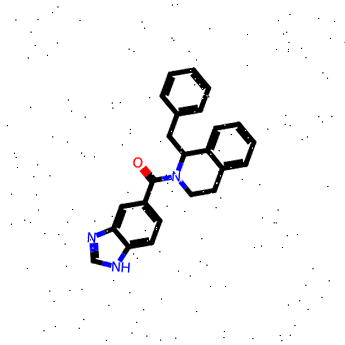 O=C(c1ccc2[nH]cnc2c1)N1CCc2ccccc2C1Cc1ccccc1